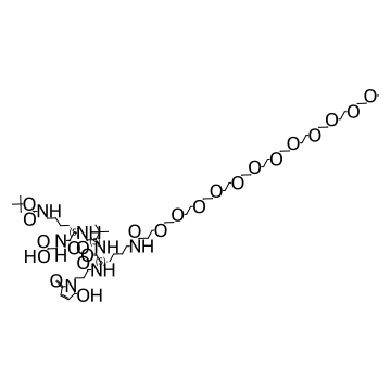 COCCOCCOCCOCCOCCOCCOCCOCCOCCOCCOCCOCCC(=O)NCCCC[C@H](NC(=O)CCN1C(=O)C=CC1O)C(=O)N[C@H](C(=O)N[C@@H](CCCCNC(=O)OC(C)(C)C)C(=O)NCC(=O)O)C(C)C